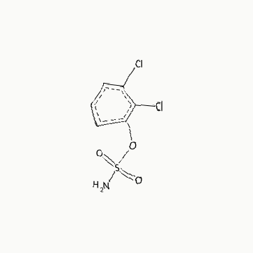 NS(=O)(=O)Oc1cccc(Cl)c1Cl